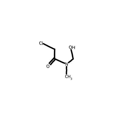 CN(CO)C(=O)CCl